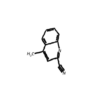 Cc1cc(C#N)nc2ccccc12